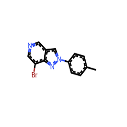 Cc1ccc(-n2cc3cncc(Br)c3n2)cc1